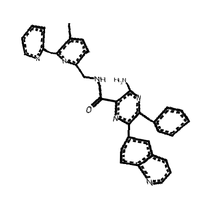 Cc1ccc(CNC(=O)c2nc(-c3ccc4ncccc4c3)c(-c3ccccc3)nc2N)nc1-c1ccccn1